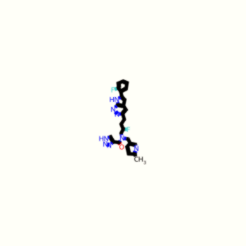 Cc1ccc(CN(CC(F)CCc2cc3cc(-c4ccccc4F)[nH]c3nn2)C(=O)c2c[nH]nn2)cn1